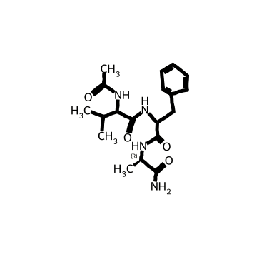 CC(=O)NC(C(=O)NC(Cc1ccccc1)C(=O)N[C@H](C)C(N)=O)C(C)C